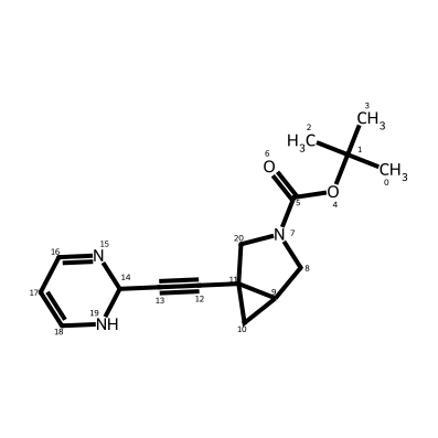 CC(C)(C)OC(=O)N1CC2CC2(C#CC2N=CC=CN2)C1